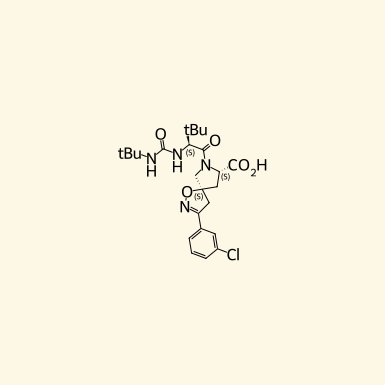 CC(C)(C)NC(=O)N[C@H](C(=O)N1C[C@@]2(CC(c3cccc(Cl)c3)=NO2)C[C@H]1C(=O)O)C(C)(C)C